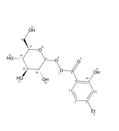 CCc1ccc(C(=O)OOC2O[C@H](CO)[C@@H](O)[C@H](O)[C@H]2O)c(O)c1